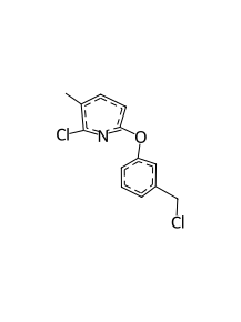 Cc1ccc(Oc2cccc(CCl)c2)nc1Cl